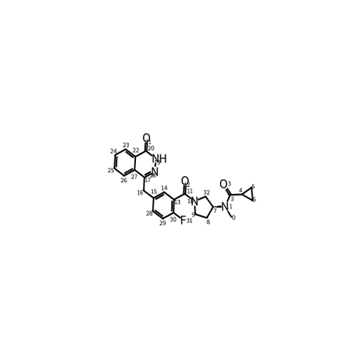 CN(C(=O)C1CC1)[C@H]1CCN(C(=O)c2cc(Cc3n[nH]c(=O)c4ccccc34)ccc2F)C1